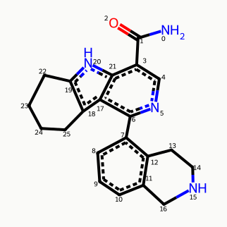 NC(=O)c1cnc(-c2cccc3c2CCNC3)c2c3c([nH]c12)CCCC3